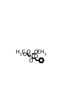 COC(=O)CN(CC(=O)OC)C(=O)CCc1ccccc1